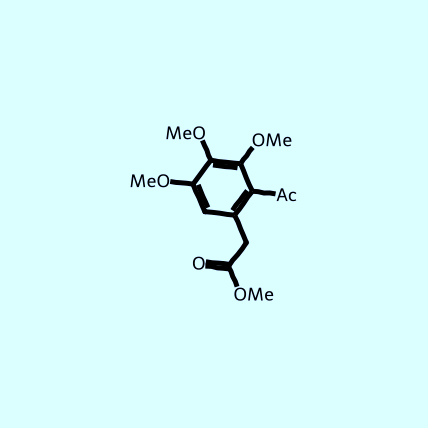 COC(=O)Cc1cc(OC)c(OC)c(OC)c1C(C)=O